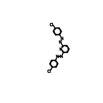 Clc1ccc(/N=N/c2cccc(/N=N/c3ccc(Cl)cc3)n2)cc1